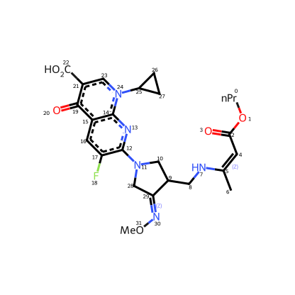 CCCOC(=O)/C=C(/C)NCC1CN(c2nc3c(cc2F)c(=O)c(C(=O)O)cn3C2CC2)C/C1=N\OC